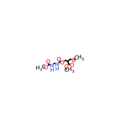 COCC(COC(=O)NCNC(=O)OC)C(=O)OC